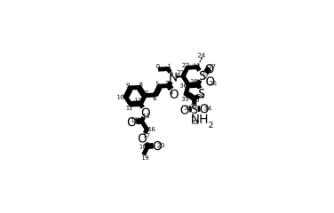 CCN(C(=O)/C=C/c1ccccc1OC(=O)COC(C)=O)[C@H]1C[C@H](C)S(=O)(=O)c2sc(S(N)(=O)=O)cc21